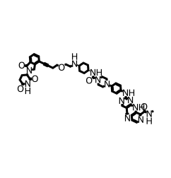 CNC(=O)c1ncccc1Nc1nc(Nc2ccc(N3CCN(C(=O)N[C@H]4CC[C@H](NCCOCCC#Cc5cccc6c5CN(C5CCC(=O)NC5=O)C6=O)CC4)CC3)cc2)ncc1C#N